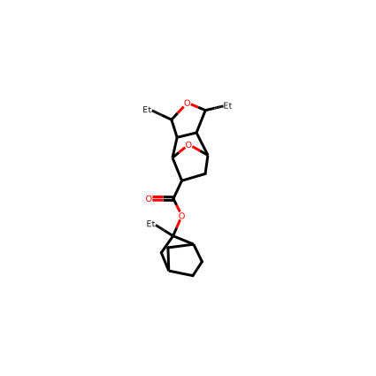 CCC1OC(CC)C2C3OC(CC3C(=O)OC3(CC)CC4CCC3C4)C12